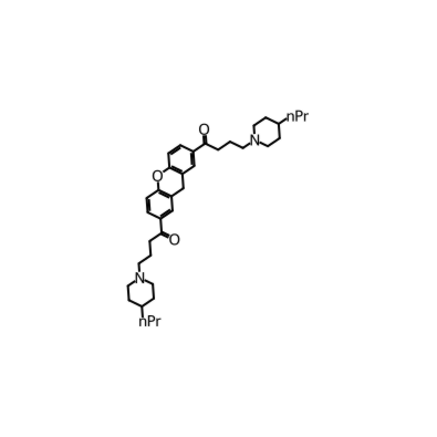 CCCC1CCN(CCCC(=O)c2ccc3c(c2)Cc2cc(C(=O)CCCN4CCC(CCC)CC4)ccc2O3)CC1